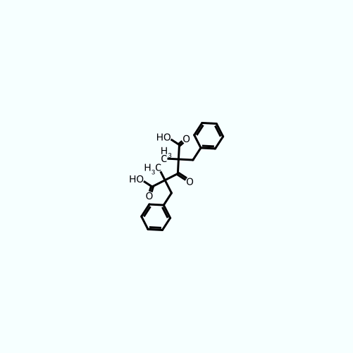 CC(Cc1ccccc1)(C(=O)O)C(=O)C(C)(Cc1ccccc1)C(=O)O